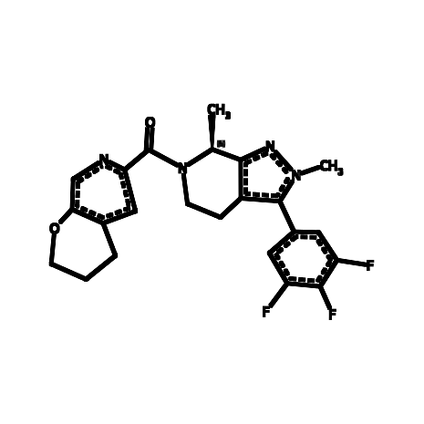 C[C@H]1c2nn(C)c(-c3cc(F)c(F)c(F)c3)c2CCN1C(=O)c1cc2c(cn1)OCCC2